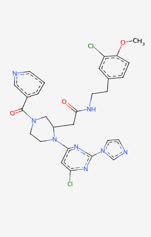 COc1ccc(CCNC(=O)CC2CN(C(=O)c3cccnc3)CCN2c2cc(Cl)nc(-n3ccnc3)n2)cc1Cl